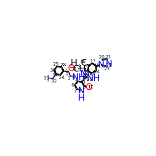 COC(CNc1cc[nH]c(=O)c1-c1nc2c(C)cc(-n3ccnc3)cc2[nH]1)c1cccc(CI)c1